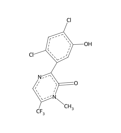 Cn1c(C(F)(F)F)cnc(-c2cc(O)c(Cl)cc2Cl)c1=O